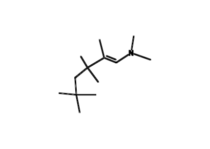 C/C(=C\N(C)C)C(C)(C)CC(C)(C)C